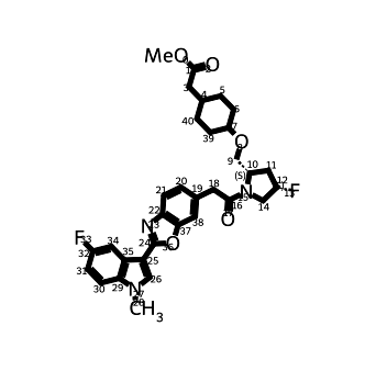 COC(=O)CC1CCC(OC[C@@H]2C[C@H](F)CN2C(=O)Cc2ccc3nc(-c4cn(C)c5ccc(F)cc45)oc3c2)CC1